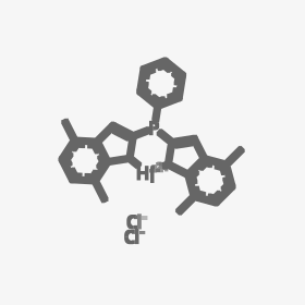 Cc1ccc(C)c2c1C=C1[CH]2[Hf+2][CH]2C(=Cc3c(C)ccc(C)c32)P1c1ccccc1.[Cl-].[Cl-]